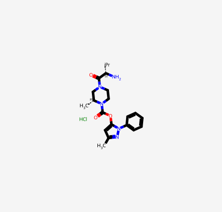 Cc1cc(OC(=O)N2CCN(C(=O)[C@@H](N)C(C)C)C[C@H]2C)n(-c2ccccc2)n1.Cl